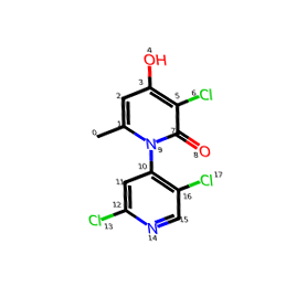 Cc1cc(O)c(Cl)c(=O)n1-c1cc(Cl)ncc1Cl